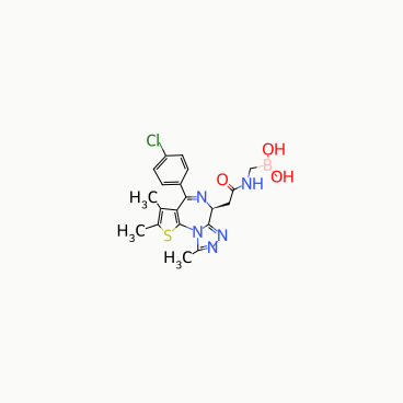 Cc1sc2c(c1C)C(c1ccc(Cl)cc1)=N[C@@H](CC(=O)NCB(O)O)c1nnc(C)n1-2